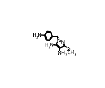 COc1nn(Cc2ccc(N)cc2)c(N)c1N